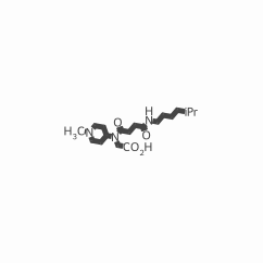 CC(C)CCCCNC(=O)CCC(=O)N(CC(=O)O)C1CCN(C)CC1